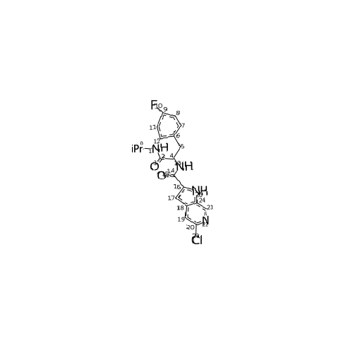 CC(C)NC(=O)C(Cc1ccc(F)cc1)NC(=O)c1cc2cc(Cl)ncc2[nH]1